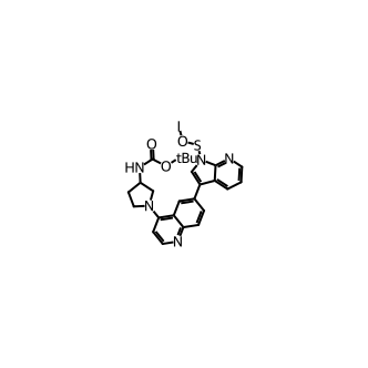 CC(C)(C)OC(=O)NC1CCN(c2ccnc3ccc(-c4cn(SOI)c5ncccc45)cc23)C1